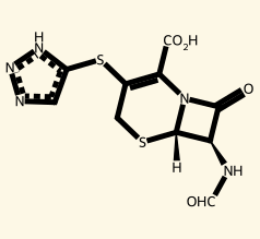 O=CN[C@@H]1C(=O)N2C(C(=O)O)=C(Sc3cnn[nH]3)CS[C@@H]12